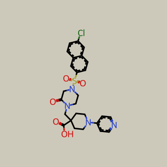 O=C1CN(S(=O)(=O)c2ccc3cc(Cl)ccc3c2)CCN1CC1(C(=O)O)CCN(c2ccncc2)CC1